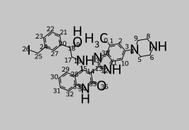 Cc1cc(N2CCNCC2)cc2[nH]c(-c3c(NC[C@@H](O)c4cccc(CI)c4)c4ccccc4[nH]c3=O)nc12